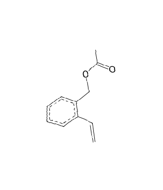 C=Cc1ccccc1COC(C)=O